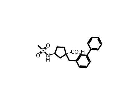 CS(=O)(=O)N[C@H]1CC[C@](Cc2cccc(-c3ccccc3)c2)(C(=O)O)C1